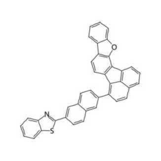 c1cc2c3c(c(-c4ccc5cc(-c6nc7ccccc7s6)ccc5c4)ccc3c1)-c1ccc3c(oc4ccccc43)c1-2